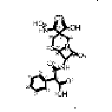 O=C(O)C(C(=O)NC1C(=O)N2CC(C(=O)O)(C(=O)NO)CS[C@H]12)c1ccccc1